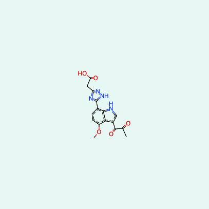 COc1ccc(-c2nc(CC(=O)O)n[nH]2)c2[nH]cc(C(=O)C(C)=O)c12